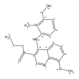 CCCC(=O)c1cnc2c(OC)cccc2c1Nc1cccc(CO)c1C